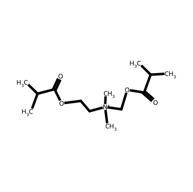 CC(C)C(=O)OCC[N+](C)(C)COC(=O)C(C)C